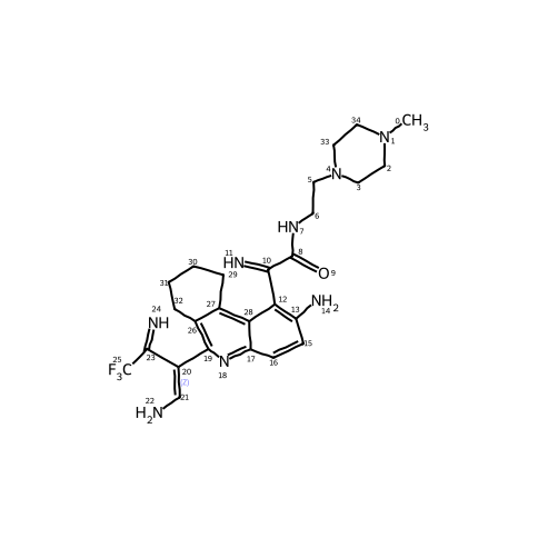 CN1CCN(CCNC(=O)C(=N)c2c(N)ccc3nc(/C(=C/N)C(=N)C(F)(F)F)c4c(c23)CCCC4)CC1